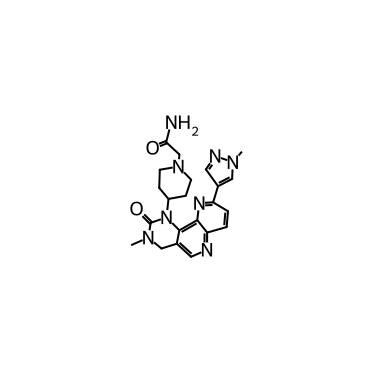 CN1Cc2cnc3ccc(-c4cnn(C)c4)nc3c2N(C2CCN(CC(N)=O)CC2)C1=O